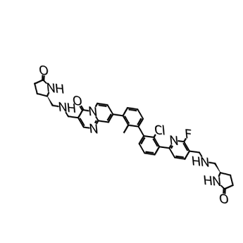 Cc1c(-c2ccn3c(=O)c(CNC[C@H]4CCC(=O)N4)cnc3c2)cccc1-c1cccc(-c2ccc(CNC[C@H]3CCC(=O)N3)c(F)n2)c1Cl